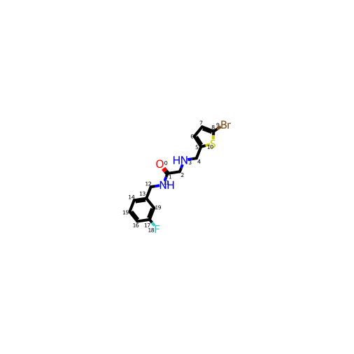 O=C(CNCc1ccc(Br)s1)NCc1cccc(F)c1